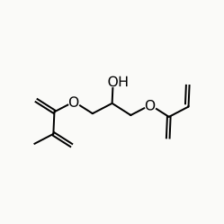 C=CC(=C)OCC(O)COC(=C)C(=C)C